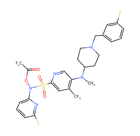 CN(c1cnc(S(=O)(=O)N(OC(=O)C(F)(F)F)c2cccc(F)n2)cc1C(F)(F)F)C1CCN(Cc2cccc(F)c2)CC1